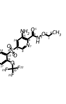 CCONC(=O)c1ncc(S(=O)(=O)c2ccccc2OC(F)(F)F)cc1N